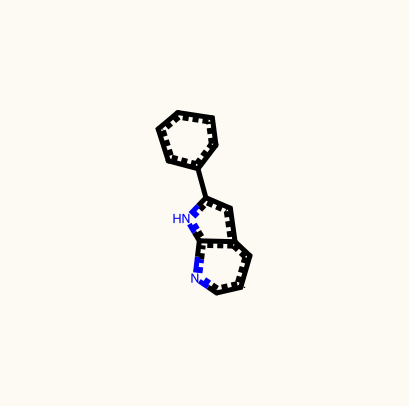 [c]1cnc2[nH]c(-c3ccccc3)cc2c1